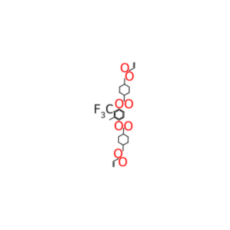 C=CC(=O)OCC1CCC(C(=O)Oc2ccc(OC(=O)C3CCC(COC(=O)C=C)CC3)c(C(F)(F)F)c2C)CC1